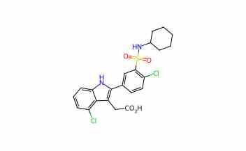 O=C(O)Cc1c(-c2ccc(Cl)c(S(=O)(=O)NC3CCCCC3)c2)[nH]c2cccc(Cl)c12